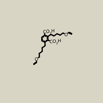 C=COCCCCCc1ccc(C(=O)O)c(CCCCCOC=C)c1C(=O)O